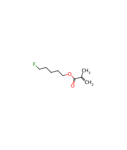 C=C(C)C(=O)OCCCCCF